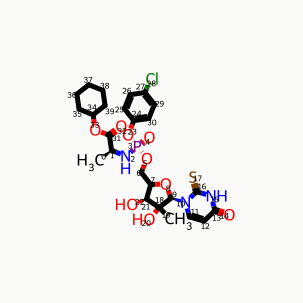 C[C@H](NP(=O)(OCC1O[C@@H](n2ccc(=O)[nH]c2=S)C(C)(O)[C@H]1O)Oc1ccc(Cl)cc1)C(=O)OC1CCCCC1